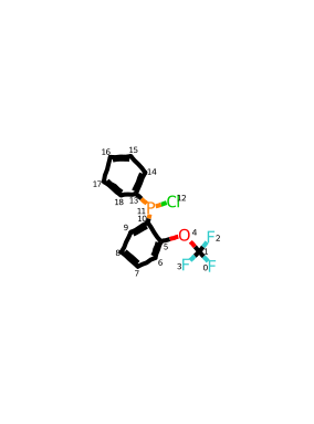 FC(F)(F)Oc1ccccc1P(Cl)c1ccccc1